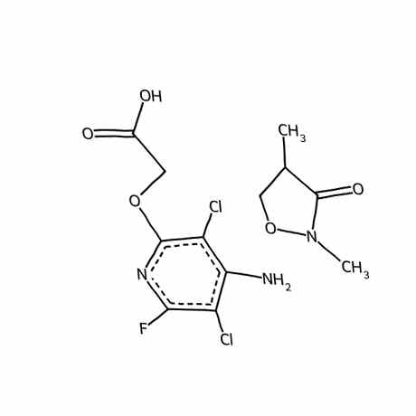 CC1CON(C)C1=O.Nc1c(Cl)c(F)nc(OCC(=O)O)c1Cl